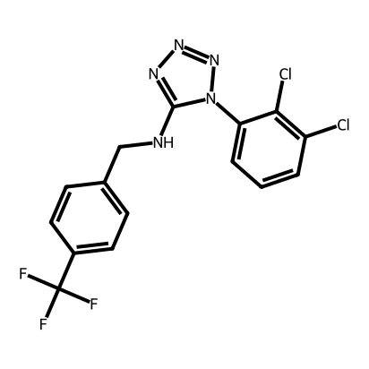 FC(F)(F)c1ccc(CNc2nnnn2-c2cccc(Cl)c2Cl)cc1